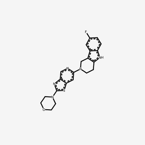 Fc1ccc2[nH]c3c(c2c1)CN(c1cc2sc(N4CCOCC4)nc2cn1)CC3